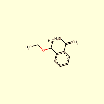 C=C([SiH3])c1ccccc1C(C)OCC